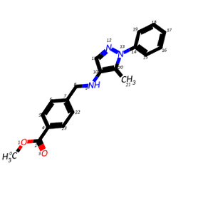 COC(=O)c1ccc(CNc2cnn(-c3ccccc3)c2C)cc1